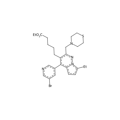 CCOC(=O)CCCCc1c(CN2CCSCC2)nn2c(CC)ccc2c1-c1cncc(Br)c1